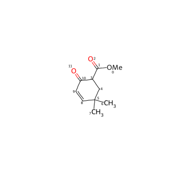 COC(=O)C1CC(C)(C)C=CC1=O